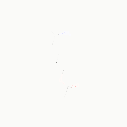 CC(=O)C(=O)OCCCCC(C)N